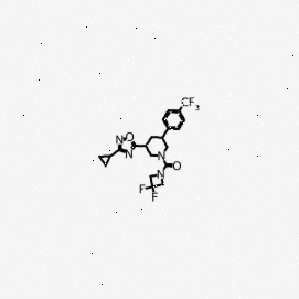 O=C(N1CC(c2ccc(C(F)(F)F)cc2)CC(c2nc(C3CC3)no2)C1)N1CC(F)(F)C1